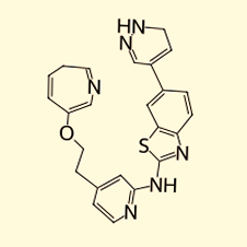 C1=CC(OCCc2ccnc(Nc3nc4ccc(C5=CCNN=C5)cc4s3)c2)=CN=CC1